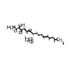 CCCCCCCCCCCCCC(=O)C(O)C(N)=O.Cl.Cl